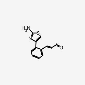 Nc1nc(-c2ccccc2/C=C/[C]=O)cs1